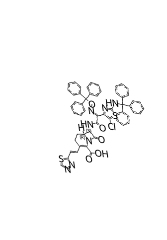 O=C(O)C1=C(C=Cc2nncs2)CC[C@@H]2[C@H](NC(=O)C(=NOC(c3ccccc3)(c3ccccc3)c3ccccc3)c3nc(NC(c4ccccc4)(c4ccccc4)c4ccccc4)sc3Cl)C(=O)N12